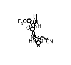 C=C(/C=C\C=C(/C)C#N)[C@]1(C)C2=C(CC(C)(C)CC2=O)Nc2nn(CC3(C)CC(=O)C4=C(C3)Nc3n[nH]cc3[C@]4(C)c3cccc(C(F)(F)F)c3)cc21